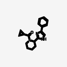 O=C(C1CC1)N1CCCCC1c1nc(-c2ccccc2)c[nH]1